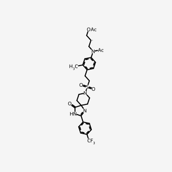 CC(=O)OC[CH]CN(C(C)=O)c1ccc(CCS(=O)(=O)N2CCC3(CC2)N=C(c2ccc(C(F)(F)F)cc2)NC3=O)c(C)c1